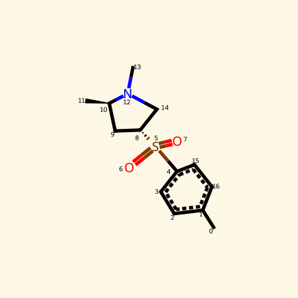 Cc1ccc(S(=O)(=O)[C@@H]2C[C@@H](C)N(C)C2)cc1